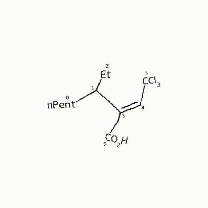 CCCCCC(CC)/C(=C\C(Cl)(Cl)Cl)C(=O)O